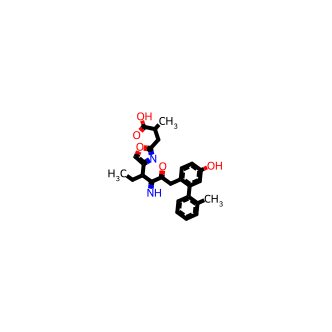 CCC(C(=N)C(=O)Cc1ccc(O)cc1-c1ccccc1C)c1coc(CC(C)C(=O)O)n1